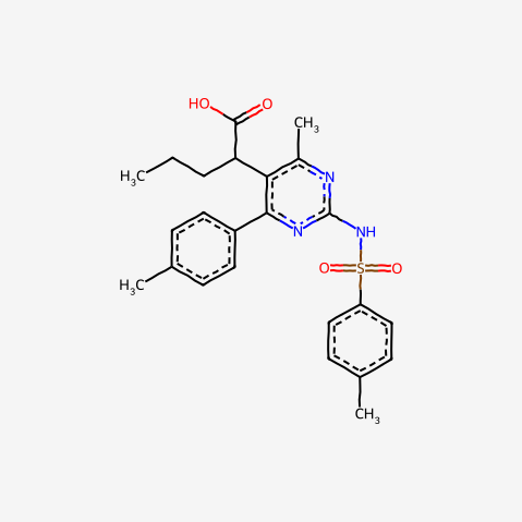 CCCC(C(=O)O)c1c(C)nc(NS(=O)(=O)c2ccc(C)cc2)nc1-c1ccc(C)cc1